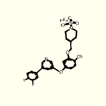 CS(=O)(=O)N1CCC(COc2cc(Oc3cncc(-c4ccc(F)c(F)c4)c3)ccc2C#N)CC1